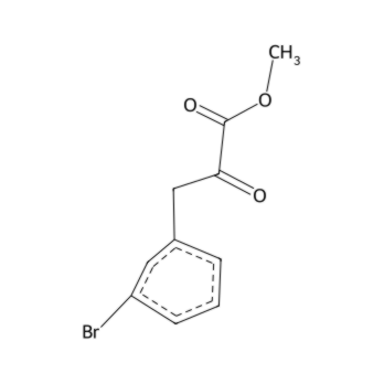 COC(=O)C(=O)Cc1cccc(Br)c1